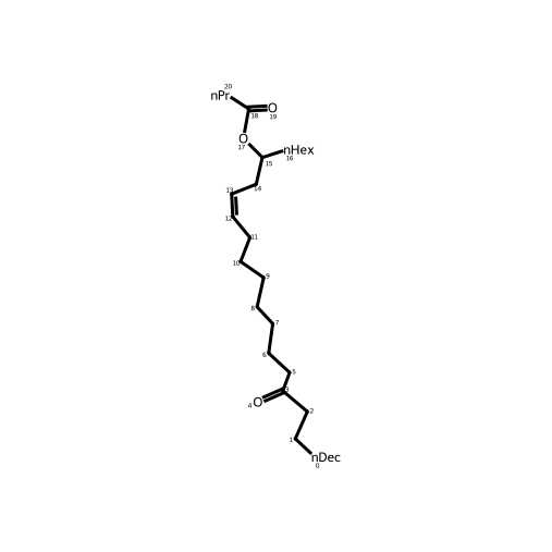 CCCCCCCCCCCCC(=O)CCCCCCC/C=C\CC(CCCCCC)OC(=O)CCC